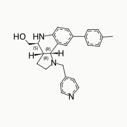 Cc1ccc(-c2ccc3c(c2)[C@H]2[C@H](CCN2Cc2ccncc2)[C@@H](CO)N3)cc1